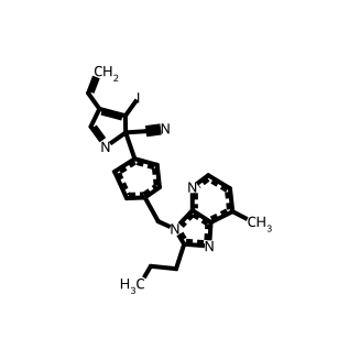 C=CC1=C(I)C(C#N)(c2ccc(Cn3c(CCC)nc4c(C)ccnc43)cc2)N=C1